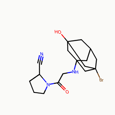 N#CC1CCCN1C(=O)CNC12CC3CC(O)(CC(Br)(C3)C1)C2